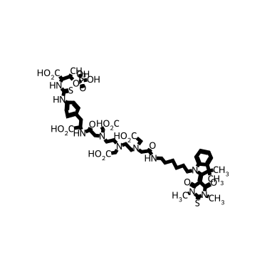 CC(OP(=O)(O)O)C(NC(=S)Nc1ccc(CC(NC(=O)CN(CCN(CCN(CC(=O)O)CC(=O)NCCCCCCN2C(=C3C(=O)N(C)C(=S)N(C)C3=O)C(C)(C)c3ccccc32)CC(=O)O)CC(=O)O)C(=O)O)cc1)C(=O)O